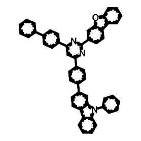 c1ccc(-c2ccc(-c3cc(-c4ccc(-c5ccc6c7ccccc7n(-c7ccccc7)c6c5)cc4)nc(-c4ccc5c(c4)oc4ccccc45)n3)cc2)cc1